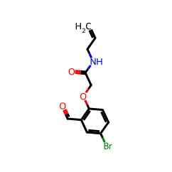 C=CCNC(=O)COc1ccc(Br)cc1C=O